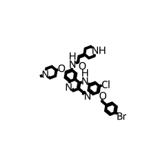 CN1CCC(Oc2cc3ncc(C#N)c(Nc4ccc(OCc5ccc(Br)cc5)c(Cl)c4)c3cc2NC(=O)C=C2CCNCC2)CC1